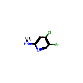 CNc1cc(Cl)c(Br)cn1